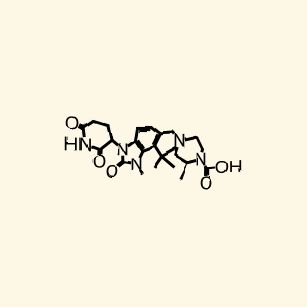 C[C@H]1CN(Cc2ccc3c(c2C(C)(C)C)n(C)c(=O)n3C2CCC(=O)NC2=O)CCN1C(=O)O